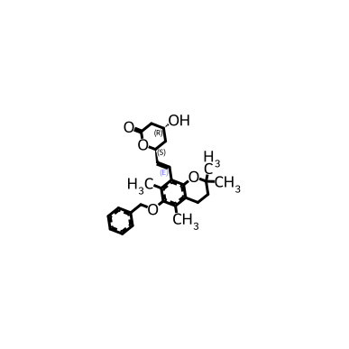 Cc1c(/C=C/[C@@H]2C[C@@H](O)CC(=O)O2)c2c(c(C)c1OCc1ccccc1)CCC(C)(C)O2